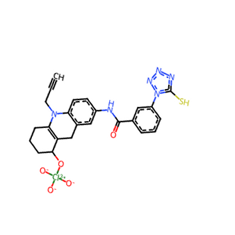 C#CCN1C2=C(Cc3cc(NC(=O)c4cccc(-n5nnnc5S)c4)ccc31)C(O[Cl+3]([O-])([O-])[O-])CCC2